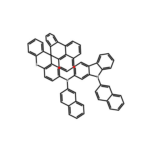 c1ccc2c(c1)Sc1ccc(N(c3ccc4ccccc4c3)c3ccc4c5ccccc5n(-c5ccc6ccccc6c5)c4c3)cc1C21c2ccccc2-c2cccc3cccc1c23